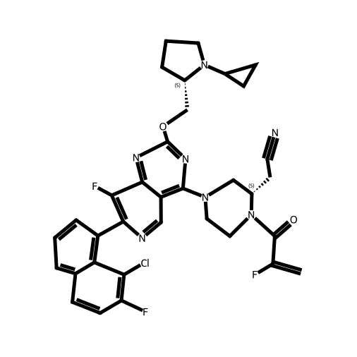 C=C(F)C(=O)N1CCN(c2nc(OC[C@@H]3CCCN3C3CC3)nc3c(F)c(-c4cccc5ccc(F)c(Cl)c45)ncc23)C[C@@H]1CC#N